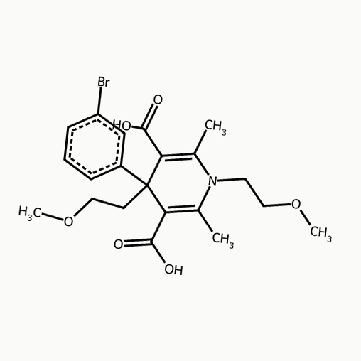 COCCN1C(C)=C(C(=O)O)C(CCOC)(c2cccc(Br)c2)C(C(=O)O)=C1C